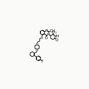 Cc1nc2cccc(SCCCN3CCN(CC4=C(c5ccc(F)cc5)CCCC4)CC3)c2c(=O)n1C1CCC(=O)NC1=O